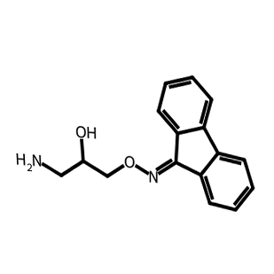 NCC(O)CON=C1c2ccccc2-c2ccccc21